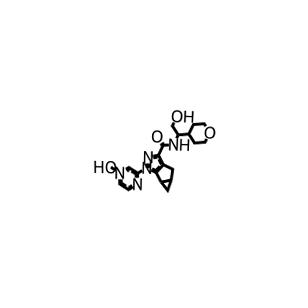 O=C(NC(CO)C1CCOCC1)c1nn(-c2c[n+](O)ccn2)c2c1CC1CC21